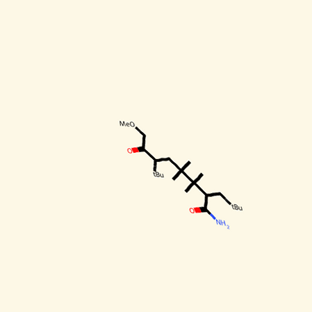 COCC(=O)C(CC(C)(C)C(C)(C)C(CC(C)(C)C)C(N)=O)C(C)(C)C